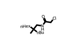 CCCCCCC(C)(CCCC)CNC(=O)CCl